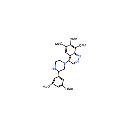 COc1cc(OC)cc(C2CN(c3cnnc4c(OC)c(OC)c(OC)cc34)CCN2)c1